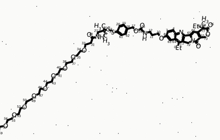 CCc1c2c(nc3ccc(OCCCNC(=O)OCc4ccc(SSC(C)(C)CNC(=O)CCOCCOCCOCCOCCOCCOCCOCCOCCOCCC(C)C)cc4)cc13)-c1cc3c(c(=O)n1C2)COC(=O)[C@]3(C)CC